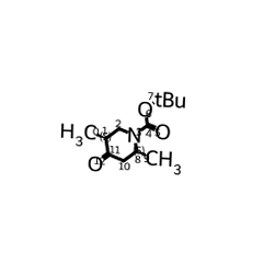 C[C@H]1CN(C(=O)OC(C)(C)C)[C@@H](C)CC1=O